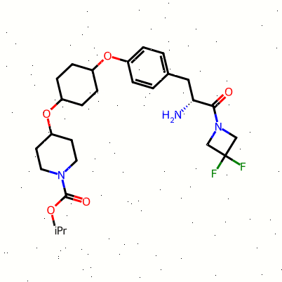 CC(C)OC(=O)N1CCC(OC2CCC(Oc3ccc(C[C@@H](N)C(=O)N4CC(F)(F)C4)cc3)CC2)CC1